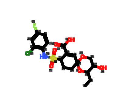 CCC1OC2(C=C(C(=O)O)C(S(=O)(=O)Nc3ccc(F)cc3Cl)CC2)OCC1O